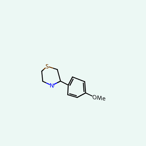 COc1ccc(C2CSCC[N]2)cc1